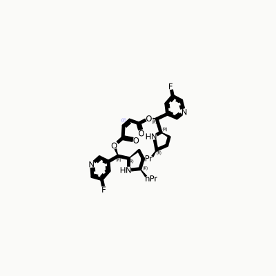 CCC[C@@H]1CC[C@H]([C@H](OC(=O)/C=C\C(=O)O[C@H](c2cncc(F)c2)[C@H]2CC[C@@H](CCC)N2)c2cncc(F)c2)N1